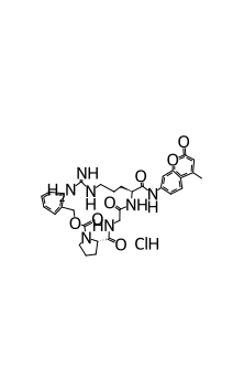 Cc1cc(=O)oc2cc(NC(=O)[C@H](CCCNC(=N)N)NC(=O)CNC(=O)[C@@H]3CCCN3C(=O)OCc3ccccc3)ccc12.Cl